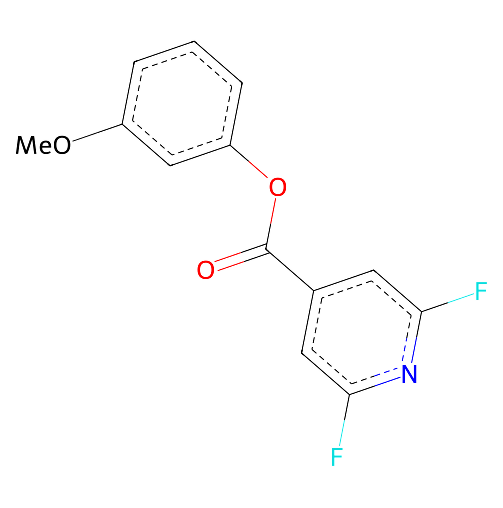 COc1cccc(OC(=O)c2cc(F)nc(F)c2)c1